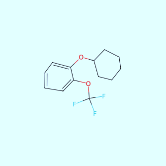 FC(F)(F)Oc1ccccc1O[C]1CCCCC1